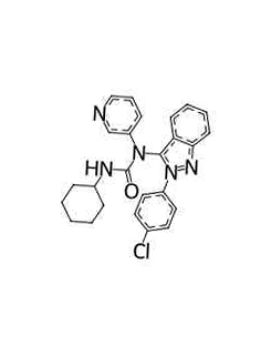 O=C(NC1CCCCC1)N(c1cccnc1)c1c2ccccc2nn1-c1ccc(Cl)cc1